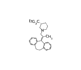 CCOC(=O)[C@@H]1CCCN(CC(C)=C2c3ccccc3CCc3ccccc32)C1